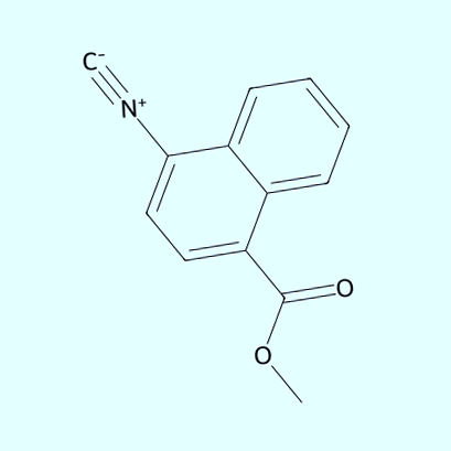 [C-]#[N+]c1ccc(C(=O)OC)c2ccccc12